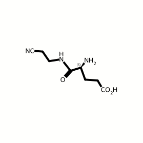 N#CCCNC(=O)[C@@H](N)CCC(=O)O